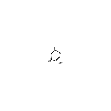 C1=CNOC=C1.[Mn].[Zn]